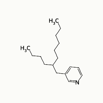 CCCCCCC(CCCC)Cc1cccnc1